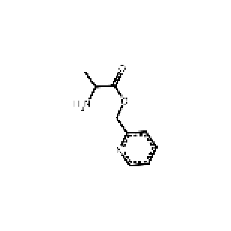 CI(N)C(=O)OCc1ccccn1